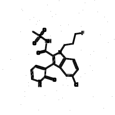 CS(=O)(=O)NC(=O)c1c(-c2ccc[nH]c2=O)c2cc(Cl)ccc2n1CCCF